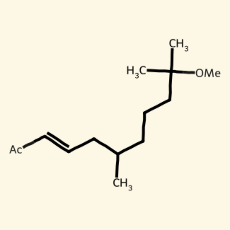 COC(C)(C)CCCC(C)CC=CC(C)=O